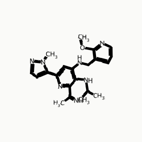 COc1ncccc1CNc1cc(-c2ccnn2C)nc(C(C)=N)c1NC(C)C